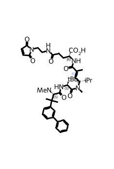 CN[C@H](C(=O)N[C@H](C(=O)N(C)[C@H](/C=C(\C)C(=O)N[C@H](CCC(=O)NCCN1C(=O)C=CC1=O)C(=O)O)C(C)C)C(C)(C)C)C(C)(C)c1cccc(-c2ccccc2)c1